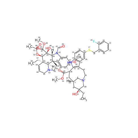 CC[C@]1(O)C[C@H]2CN(CCc3c([nH]c4ccc(SCc5ccccc5F)cc34)[C@@](C(=O)OC)(C3C=C4C(=CC3OC)N(C=O)[C@H]3[C@@](O)(C(=O)OC)[C@H](OC(C)=O)[C@]5(CC)C=CCN6CC[C@]43[C@@H]65)C2)C1